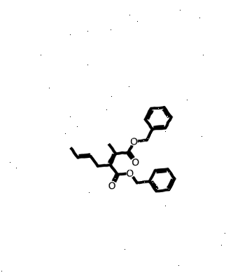 CC=CCC(C(=O)OCc1ccccc1)=C(C)C(=O)OCc1ccccc1